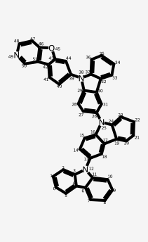 c1ccc2c(c1)c1ccccc1n2-c1ccc2c(c1)c1ccccc1n2-c1ccc2c(c1)c1ccccc1n2-c1ccc2c(c1)oc1ccncc12